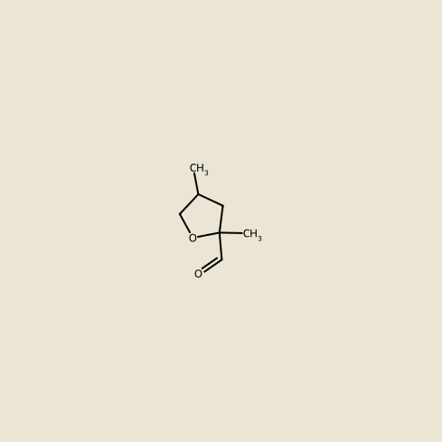 CC1COC(C)(C=O)C1